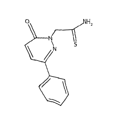 NC(=S)Cn1nc(-c2ccccc2)ccc1=O